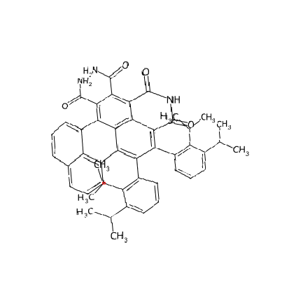 CC(C)c1cccc(-c2c3c4c(c(C(N)=O)c(C(N)=O)c5c6cccc7cccc(c(c2-c2cccc(C(C)C)c2C(C)C)c45)c76)C(=O)NC3=O)c1C(C)C